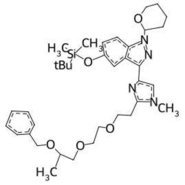 CC(COCCOCCc1nc(-c2nn(C3CCCCO3)c3ccc(O[Si](C)(C)C(C)(C)C)cc23)cn1C)OCc1ccccc1